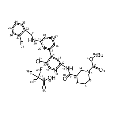 CC(C)(C)OC(=O)N1CCCC(C(=O)Nc2cc(-c3cncc(NCc4ccccc4F)n3)c(Cl)cn2)C1.O=C(O)C(F)(F)F